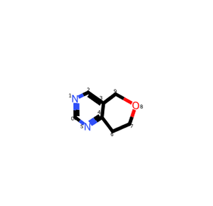 [c]1ncc2c(n1)CCOC2